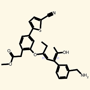 CC/C(=C\C(=C(/C)O)c1cccc(CN)c1)Oc1cc(-c2ccc(C#N)s2)ccc1CC(=O)OC